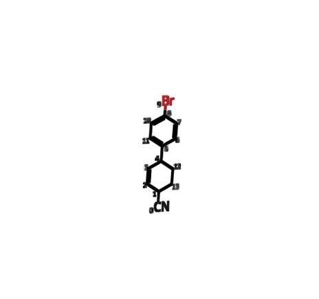 N#CC1C=CC(c2ccc(Br)cc2)CC1